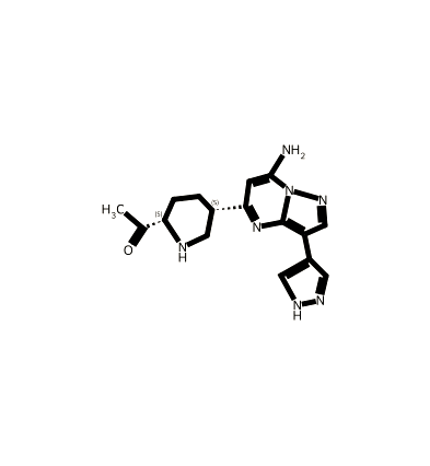 CC(=O)[C@@H]1CC[C@H](c2cc(N)n3ncc(-c4cn[nH]c4)c3n2)CN1